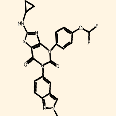 Cn1cc2cc(-n3c(=O)c4sc(NC5CC5)nc4n(-c4ccc(OC(F)F)cc4)c3=O)ccc2n1